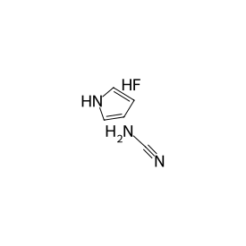 F.N#CN.c1cc[nH]c1